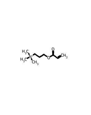 C=CC(=O)OCCC[N+](C)(C)C